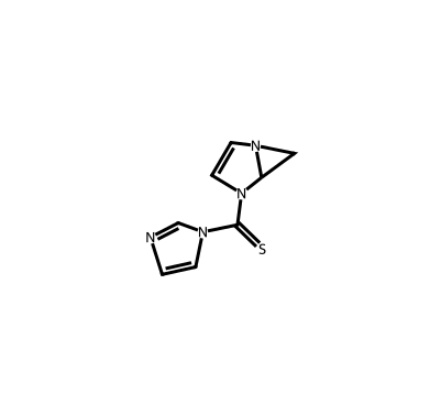 S=C(N1C=CN2CC21)n1ccnc1